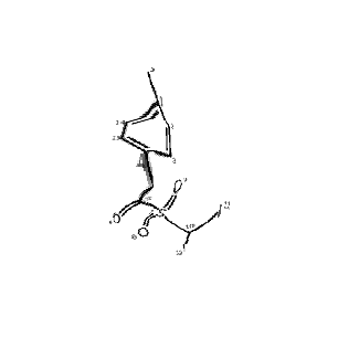 Cc1ccc(C(=O)S(=O)(=O)C(I)I)cc1